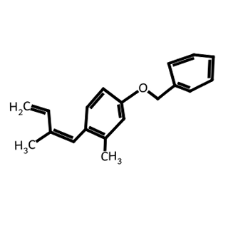 C=C/C(C)=C\c1ccc(OCc2ccccc2)cc1C